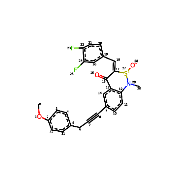 COc1ccc(CC#Cc2ccc3c(c2)C(=O)/C(=C\c2ccc(F)c(F)c2)[S+]([O-])N3C)cc1